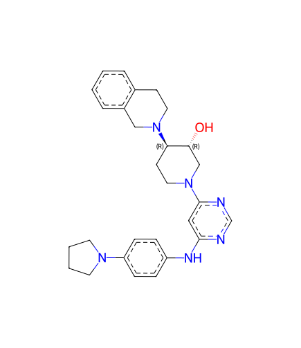 O[C@@H]1CN(c2cc(Nc3ccc(N4CCCC4)cc3)ncn2)CC[C@H]1N1CCc2ccccc2C1